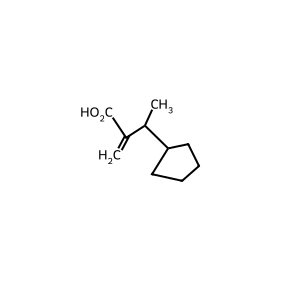 C=C(C(=O)O)C(C)C1CCCC1